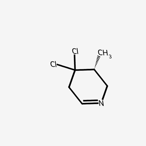 C[C@@H]1CN=CCC1(Cl)Cl